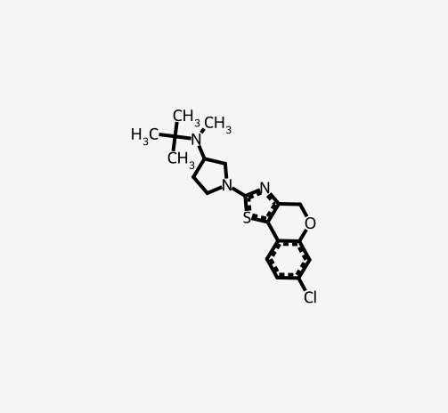 CN(C1CCN(c2nc3c(s2)-c2ccc(Cl)cc2OC3)C1)C(C)(C)C